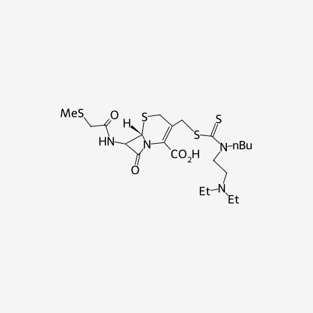 CCCCN(CCN(CC)CC)C(=S)SCC1=C(C(=O)O)N2C(=O)C(NC(=O)CSC)[C@@H]2SC1